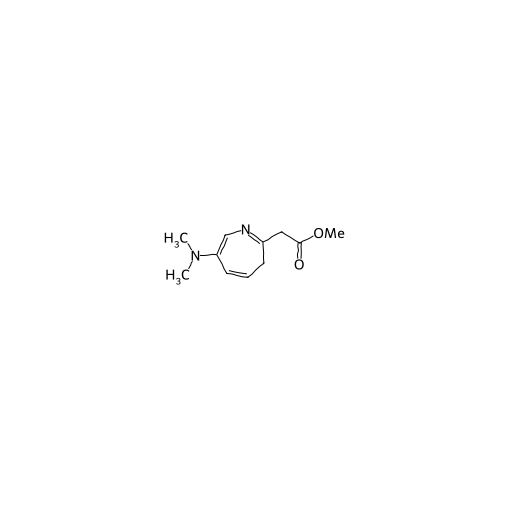 COC(=O)CC1=NC=C(N(C)C)C=CC1